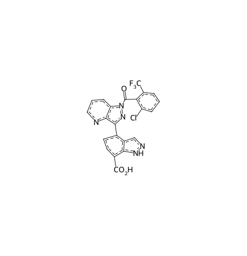 O=C(O)c1ccc(-c2nn(C(=O)c3c(Cl)cccc3C(F)(F)F)c3cccnc23)c2cn[nH]c12